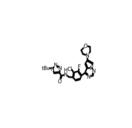 CC(C)(C)n1cc(C(=O)NCc2ccc(-c3ncnn4cc(N5CCOCC5)cc34)c(F)c2Cl)nn1